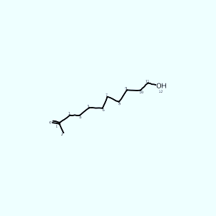 C=C(C)CCCCCCCCCO